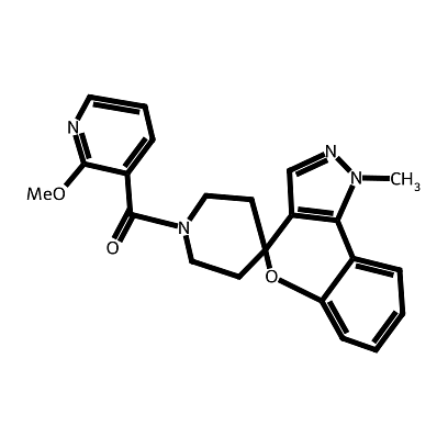 COc1ncccc1C(=O)N1CCC2(CC1)Oc1ccccc1-c1c2cnn1C